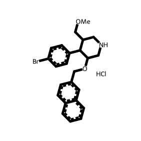 COCC1CNCC(OCc2ccc3ccccc3c2)C1c1ccc(Br)cc1.Cl